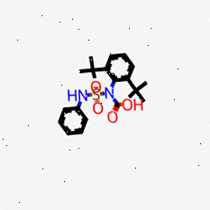 CC(C)(C)c1cccc(C(C)(C)C)c1N(C(=O)O)S(=O)(=O)Nc1ccccc1